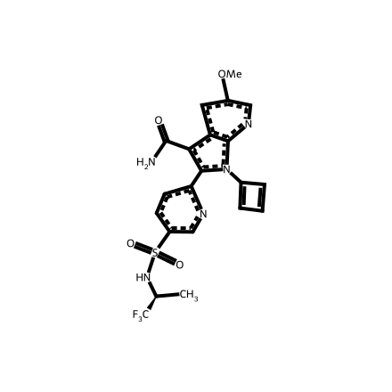 COc1cnc2c(c1)c(C(N)=O)c(-c1ccc(S(=O)(=O)N[C@@H](C)C(F)(F)F)cn1)n2C1=CC=C1